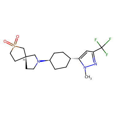 Cn1nc(C(F)(F)F)cc1[C@H]1CC[C@H](N2CC[C@]3(CCS(=O)(=O)C3)C2)CC1